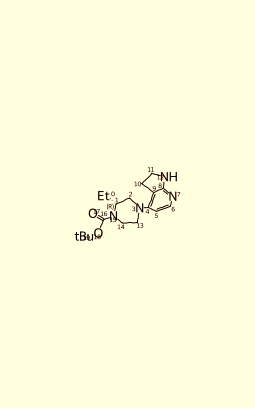 CC[C@@H]1CN(c2ccnc3c2CCN3)CCN1C(=O)OC(C)(C)C